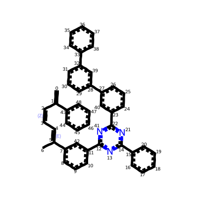 C=C(/C=C\C=C(/C)c1cccc(-c2nc(-c3ccccc3)nc(-c3cccc(-c4cccc(-c5ccccc5)c4)c3)n2)c1)c1ccccc1